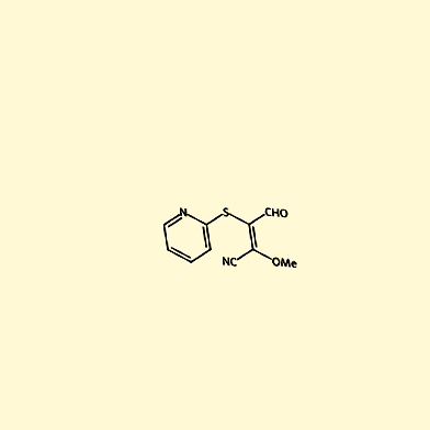 COC(C#N)=C(C=O)Sc1ccccn1